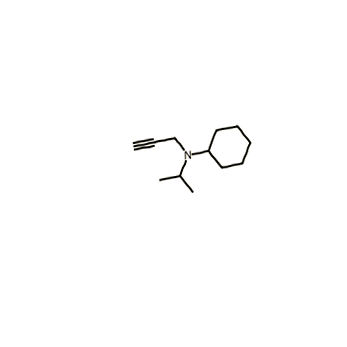 C#CCN(C(C)C)C1CCCCC1